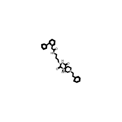 CCCN1C(=O)[C@H](CCCCNC(=O)Cc2ccccc2-c2ccccc2)NC(=O)C12CCN(CCc1ccccc1)CC2